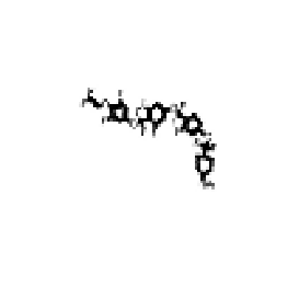 CCCC1CCC(C(F)(F)Oc2ccc(C(F)(F)Oc3cc(F)c(C(F)(F)Oc4cc(F)c(OC=C(F)F)c(F)c4)c(F)c3)c(F)c2)CC1